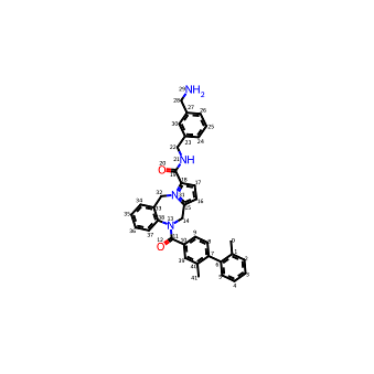 Cc1ccccc1-c1ccc(C(=O)N2Cc3ccc(C(=O)NCc4cccc(CN)c4)n3Cc3ccccc32)cc1C